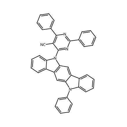 N#Cc1c(-c2ccccc2)nc(-c2ccccc2)nc1-n1c2ccccc2c2cc3c(cc21)c1ccccc1n3-c1ccccc1